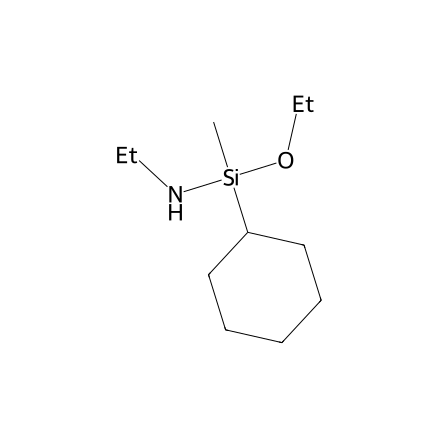 CCN[Si](C)(OCC)C1CCCCC1